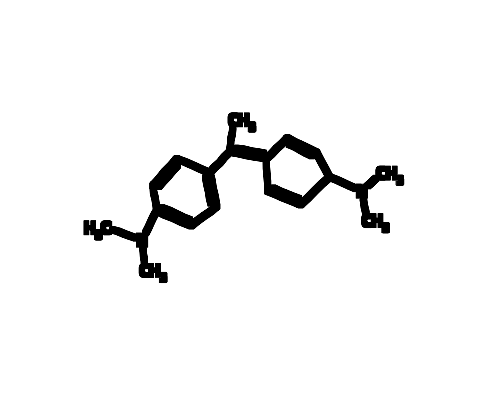 CC(=C1C=CC(N(C)C)C=C1)c1ccc(N(C)C)cc1